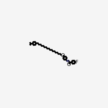 C=C(C)c1ccc(CCCCCCCCCCCCCCCCCCOc2ccc(/C=C/C(=O)c3ccc(F)cc3)cc2)cc1